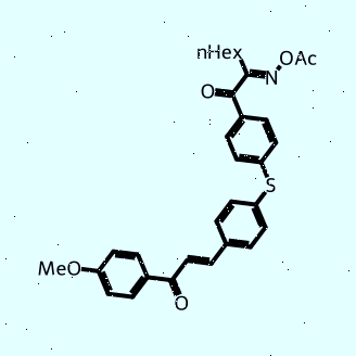 CCCCCCC(=NOC(C)=O)C(=O)c1ccc(Sc2ccc(C=CC(=O)c3ccc(OC)cc3)cc2)cc1